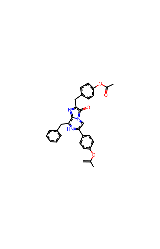 C=C(C)Oc1ccc(-c2cn3c(=O)c(Cc4ccc(OC(C)=O)cc4)nc-3c(Cc3ccccc3)[nH]2)cc1